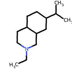 CCN1CCC2CCC(C(C)C)CC2C1